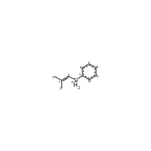 CC(C)=C[SiH2]c1ccccc1